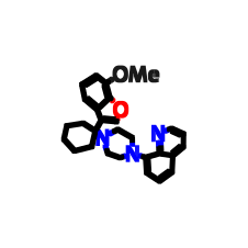 COc1cccc2c(C3(N4CCN(c5cccc6cccnc56)CC4)CCCCC3)coc12